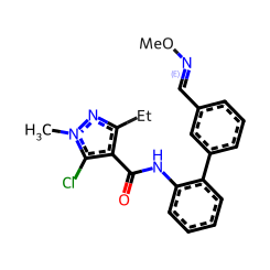 CCc1nn(C)c(Cl)c1C(=O)Nc1ccccc1-c1cccc(/C=N/OC)c1